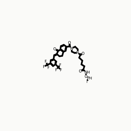 O=C(CCCCC(=O)N1CCN(C(=O)c2ccc3c(c2)CC/C(=C\c2cc(C(F)(F)F)cc(C(F)(F)F)c2)C3=O)CC1)NOPI